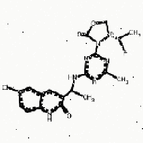 Cc1nc(NC(C)c2cc3cc(Cl)ccc3[nH]c2=O)nc(N2C(=O)OC[C@@H]2C(C)F)n1